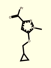 CC(C)C(=O)c1cc(OCC2CC2)n(C)n1